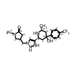 CC(C)N1CC(CN2C=C([C@@H]3CC(O)(c4ccc(C(F)(F)F)cc4)C[C@H](C)N3)NN2)CC1=O